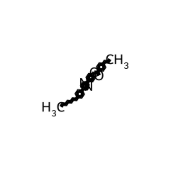 CCCCCCCC1CCC(c2cnc(-c3ccc(OC(=O)C4CCC(CCC)CC4)cc3)nc2)CC1